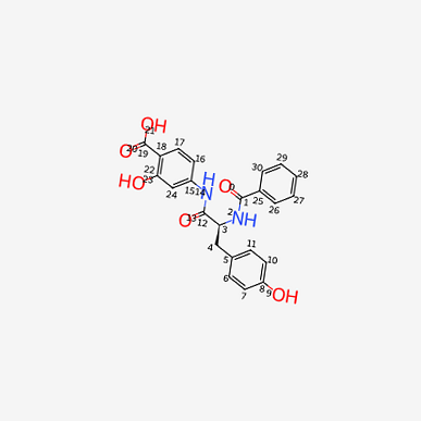 O=C(N[C@@H](Cc1ccc(O)cc1)C(=O)Nc1ccc(C(=O)O)c(O)c1)c1ccccc1